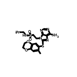 Cc1cc2c(cc1Sc1nc3c(N)ncnc3n1CCS(=O)(=O)NCC(C)C)OCCO2